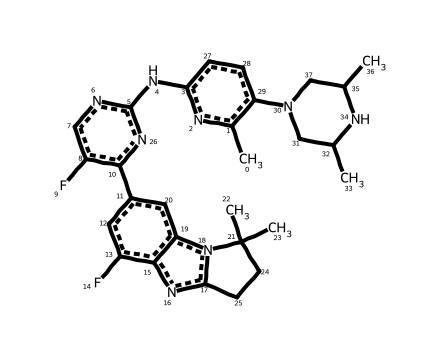 Cc1nc(Nc2ncc(F)c(-c3cc(F)c4nc5n(c4c3)C(C)(C)CC5)n2)ccc1N1CC(C)NC(C)C1